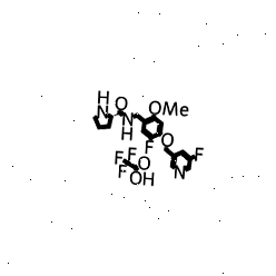 COc1cc(OCc2cncc(F)c2)c(F)cc1CNC(=O)[C@@H]1CCCN1.O=C(O)C(F)(F)F